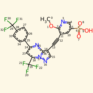 COc1ncc(S(=O)(=O)O)cc1C#Cc1cnn2c(C(F)(F)F)cc(-c3ccc(C(F)(F)F)cc3)nc12